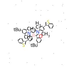 Cc1cc(C(C)(C)C)cc(C)c1N1c2cc(-c3csc4ccccc34)ccc2B2c3c1cccc3N(c1c(C)cc(-c3csc4ccccc34)cc1C)c1oc3ccc(C(C)(C)C)cc3c12